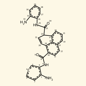 Nc1ccccc1NC(=O)c1ccc2cccc3c2c1C=CC3C(=O)Nc1ccccc1N